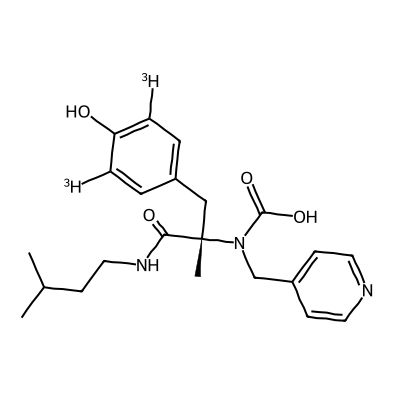 [3H]c1cc(C[C@@](C)(C(=O)NCCC(C)C)N(Cc2ccncc2)C(=O)O)cc([3H])c1O